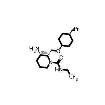 CC(C)[C@H]1CC[C@@H](OC[C@H]2[C@@H](N)CCCN2C(=O)NCC(F)(F)F)CC1